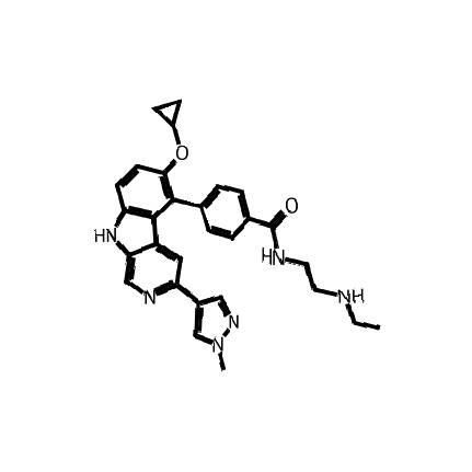 CCNCCNC(=O)c1ccc(-c2c(OC3CC3)ccc3[nH]c4cnc(-c5cnn(C)c5)cc4c23)cc1